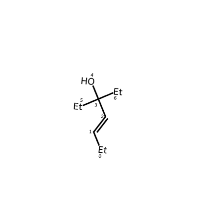 [CH2]CC=CC(O)(CC)CC